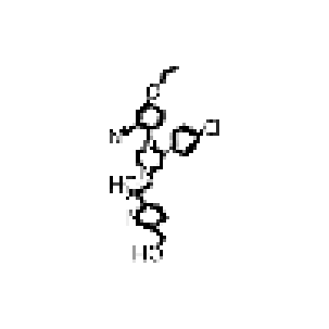 CCCOc1ccc(N2CCN(C[C@@](C)(O)c3ccc(CO)cn3)C[C@H]2c2ccc(Cl)cc2)c(C#N)c1